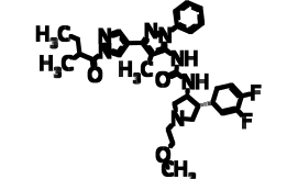 CCC(C)C(=O)n1cc(-c2nn(-c3ccccc3)c(NC(=O)N[C@@H]3CN(CCOC)C[C@H]3C3C=C(F)C(F)=CC3)c2C)cn1